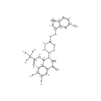 O=C1NC(C2CCN(CCc3c[nH]c4ccc(Cl)cc34)CC2)N(OC(=O)C(F)(F)F)c2cc(F)c(F)cc21